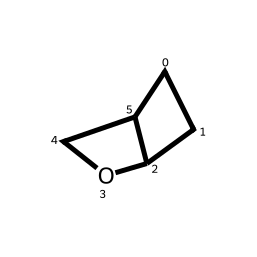 C1CC2OCC12